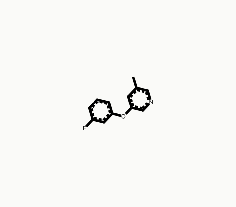 Cc1cncc(Oc2cccc(F)c2)c1